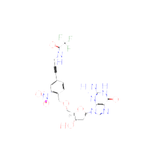 Nc1nc2c(ncn2[C@H]2C[C@H](O)[C@@H](COCc3ccc(C#CCNC(=O)C(F)(F)F)cc3[N+](=O)[O-])O2)c(=O)[nH]1